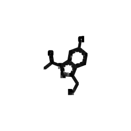 CC(=O)n1nc(CBr)c2ccc(Cl)cc21